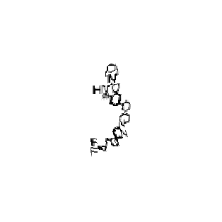 C[C@H](NC(=O)N1CCOCC1)c1ccc(OC2CCN(c3ccc(OCC4CC4(F)F)cn3)C2)cc1